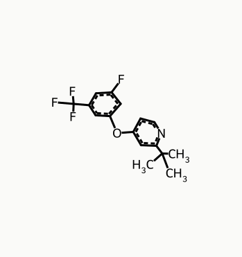 CC(C)(C)c1cc(Oc2cc(F)cc(C(F)(F)F)c2)ccn1